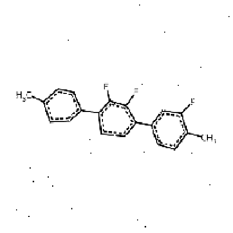 Cc1ccc(-c2ccc(-c3ccc(C)c(F)c3)c(F)c2F)cc1